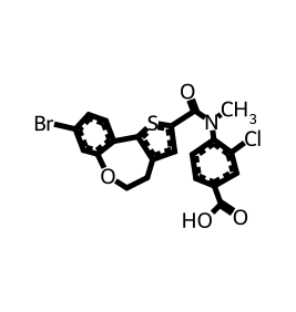 CN(C(=O)c1cc2c(s1)-c1ccc(Br)cc1OCC2)c1ccc(C(=O)O)cc1Cl